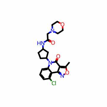 Cc1onc2c1c(=O)n(C1CCC(NC(=O)CN3CCOCC3)C1)c1cccc(Cl)c21